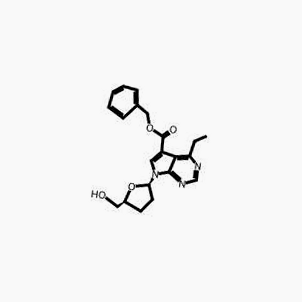 CCc1ncnc2c1c(C(=O)OCc1ccccc1)cn2[C@H]1CC[C@@H](CO)O1